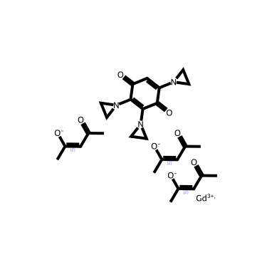 CC(=O)/C=C(/C)[O-].CC(=O)/C=C(/C)[O-].CC(=O)/C=C(/C)[O-].O=C1C=C(N2CC2)C(=O)C(N2CC2)=C1N1CC1.[Gd+3]